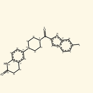 Cc1ccn2cc(C(=O)N3CCN(c4ccc5c(c4)CCC(=O)N5)CC3)nc2c1